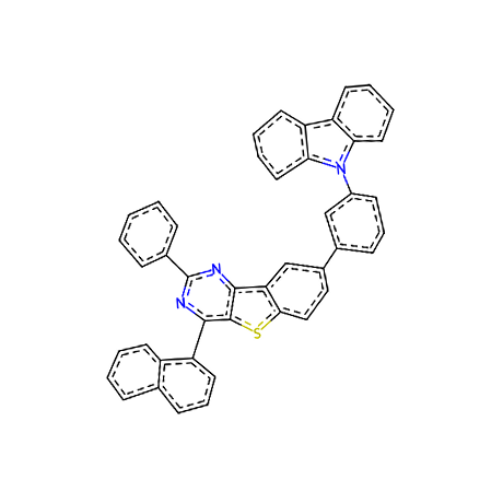 c1ccc(-c2nc(-c3cccc4ccccc34)c3sc4ccc(-c5cccc(-n6c7ccccc7c7ccccc76)c5)cc4c3n2)cc1